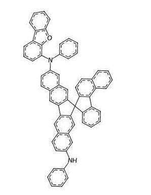 c1ccc(Nc2ccc3cc4c(cc3c2)C2(c3cc5cc(N(c6ccccc6)c6cccc7c6oc6ccccc67)ccc5cc3-4)c3ccccc3-c3c2ccc2ccccc32)cc1